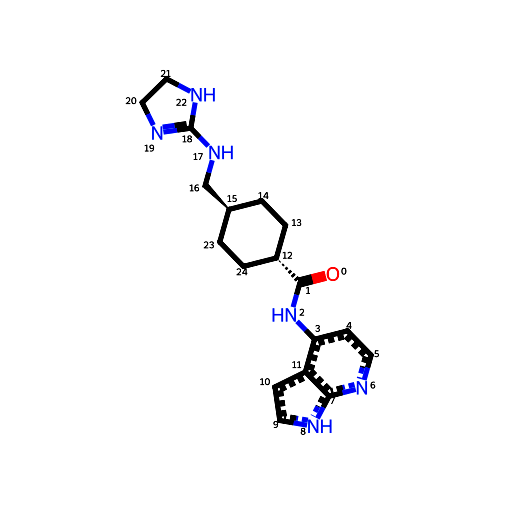 O=C(Nc1ccnc2[nH]ccc12)[C@H]1CC[C@H](CNC2=NCCN2)CC1